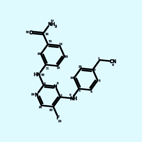 N#CCc1ccc(Nc2nc(Nc3cccc(C(N)=O)c3)ncc2F)cc1